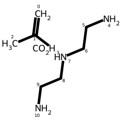 C=C(C)C(=O)O.NCCNCCN